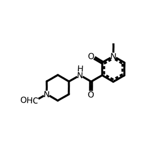 Cn1cccc(C(=O)NC2CCN(C=O)CC2)c1=O